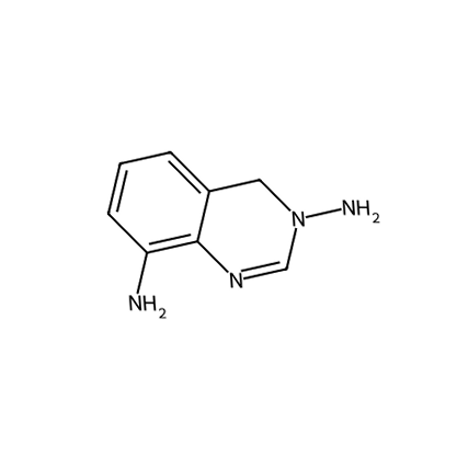 Nc1cccc2c1N=CN(N)C2